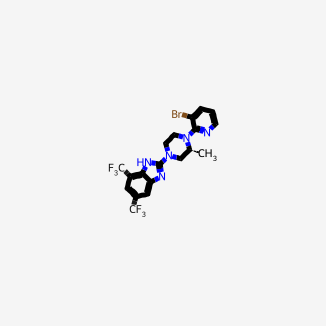 C[C@@H]1CN(c2nc3cc(C(F)(F)F)cc(C(F)(F)F)c3[nH]2)CCN1c1ncccc1Br